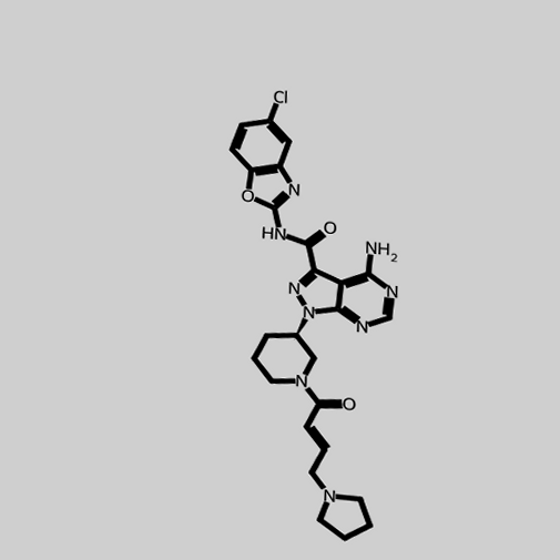 Nc1ncnc2c1c(C(=O)Nc1nc3cc(Cl)ccc3o1)nn2[C@@H]1CCCN(C(=O)C=CCN2CCCC2)C1